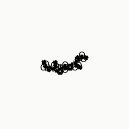 CC(C)(C)OC(=O)[C@@H](Cc1cccc(NS(=O)(=O)c2cccc(C[C@H](C(=O)OC(C)(C)C)[C@H]3CCN(C(=O)OC(C)(C)C)C3)c2)c1)[C@H]1CCN(C(=O)OC(C)(C)C)C1